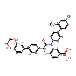 Cc1cc(Cl)ccc1-c1ccc(NC(=O)[C@H](Cc2ccc(C(=O)O)cc2)c2ccc(-c3ccc4c(c3)OCCO4)cc2)cc1